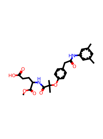 COC(=O)C(CCC(=O)O)NC(=O)C(C)(C)Oc1ccc(CC(=O)Nc2cc(C)cc(C)c2)cc1